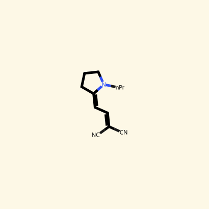 CCCN1CCC/C1=C/C=C(C#N)C#N